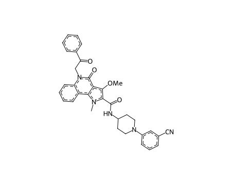 COc1c(C(=O)NC2CCN(c3cccc(C#N)c3)CC2)n(C)c2c1c(=O)n(CC(=O)c1ccccc1)c1ccccc21